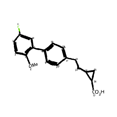 COc1ccc(F)cc1-c1ccc(CCC2CC2C(=O)O)cc1